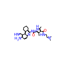 Cc1[nH]c(C(=O)Nc2nc3ccc(N)c(C=N)c3c3c2CCCC3)c(C)c1C(=O)NCCN(C)C